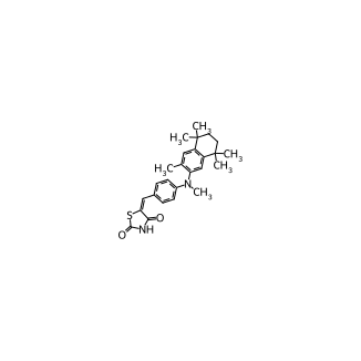 Cc1cc2c(cc1N(C)c1ccc(/C=C3/SC(=O)NC3=O)cc1)C(C)(C)CCC2(C)C